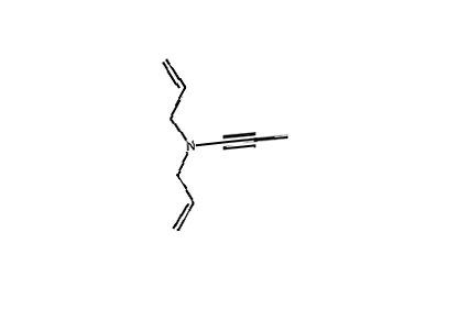 C=CCN(C#CC)CC=C